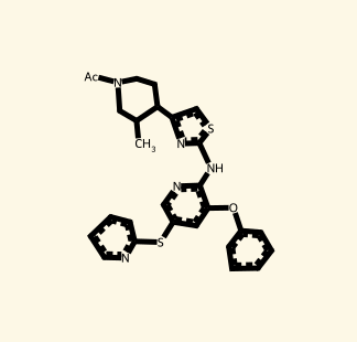 CC(=O)N1CCC(c2csc(Nc3ncc(Sc4ccccn4)cc3Oc3ccccc3)n2)C(C)C1